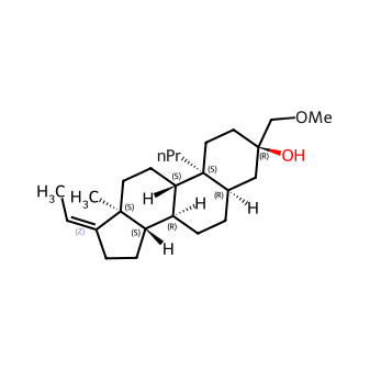 C/C=C1/CC[C@H]2[C@@H]3CC[C@@H]4C[C@@](O)(COC)CC[C@]4(CCC)[C@H]3CC[C@]12C